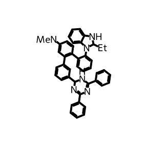 CCC1Nc2ccccc2N1c1ccccc1-c1ccc(NC)cc1-c1cccc(C2N=C(c3ccccc3)N=C(c3ccccc3)N2)c1